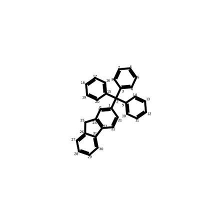 [c]1c(C(c2ccccc2)(c2ccccc2)c2ccccc2)ccc2c1Cc1ccccc1-2